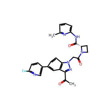 CC(=O)c1nn(CC(=O)N2CC[C@H]2C(=O)Nc2cccc(C)n2)c2ccc(-c3ccc(F)nc3)cc12